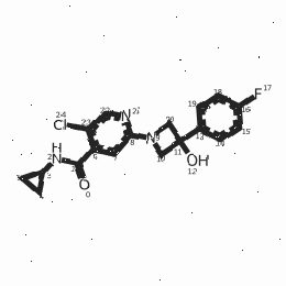 O=C(NC1CC1)c1cc(N2CC(O)(c3ccc(F)cc3)C2)ncc1Cl